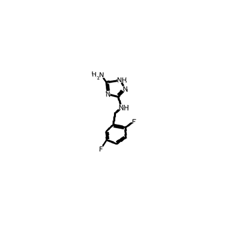 Nc1nc(NCc2cc(F)ccc2F)n[nH]1